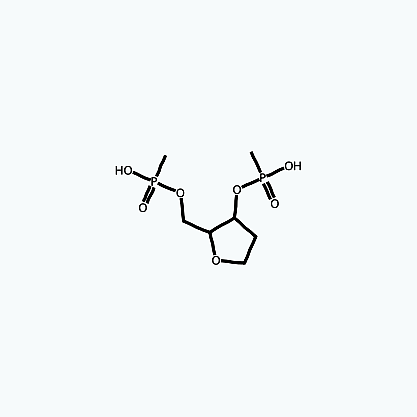 CP(=O)(O)OCC1OCCC1OP(C)(=O)O